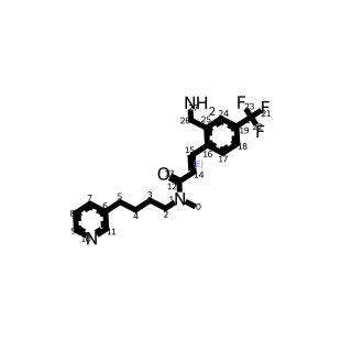 CN(CCCCc1cccnc1)C(=O)/C=C/c1ccc(C(F)(F)F)cc1CN